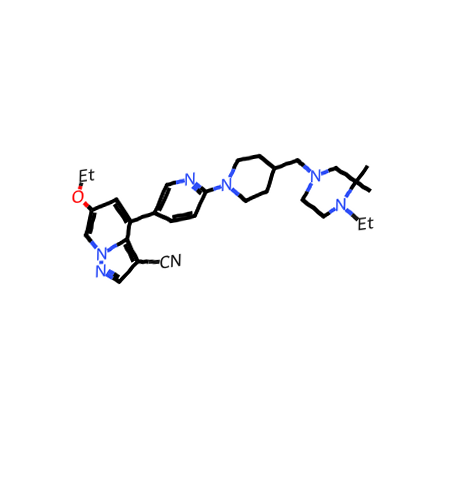 CCOc1cc(-c2ccc(N3CCC(CN4CCN(CC)C(C)(C)C4)CC3)nc2)c2c(C#N)cnn2c1